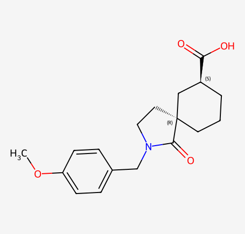 COc1ccc(CN2CC[C@]3(CCC[C@H](C(=O)O)C3)C2=O)cc1